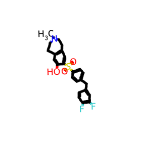 CN1CCc2cc(O)c(S(=O)(=O)c3ccc(Cc4ccc(F)c(F)c4)cc3)cc2CC1